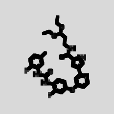 CCOC(CCNC(=O)c1cc(-c2cc(Oc3ccc(NC(=O)Nc4cc(C)ccc4F)c(F)c3)ccn2)c[nH]1)OCC